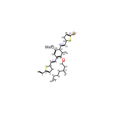 C=CC1=CCC(/C=C/C2=C(OCCC(C)CCCC(C)C)C(C)C(/C=C/C3CC=C(Br)S3)C(OC)=C2)S1